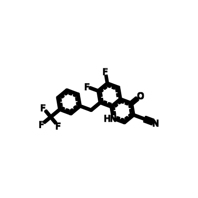 N#Cc1c[nH]c2c(Cc3cccc(C(F)(F)F)c3)c(F)c(F)cc2c1=O